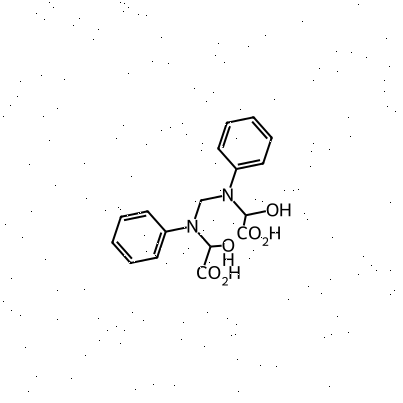 O=C(O)C(O)N(CN(c1ccccc1)C(O)C(=O)O)c1ccccc1